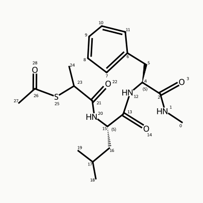 CNC(=O)[C@H](Cc1ccccc1)NC(=O)[C@H](CC(C)C)NC(=O)C(C)SC(C)=O